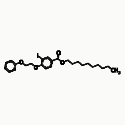 CCCCCCCCCCOC(=O)c1ccc(OCCOc2ccccc2)c(I)c1